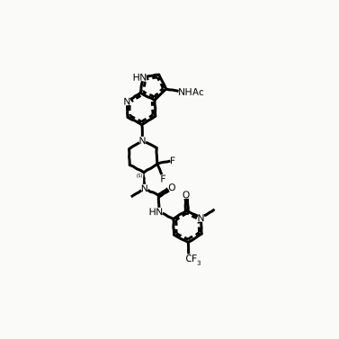 CC(=O)Nc1c[nH]c2ncc(N3CC[C@H](N(C)C(=O)Nc4cc(C(F)(F)F)cn(C)c4=O)C(F)(F)C3)cc12